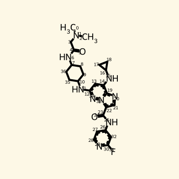 CN(C)CC(=O)NC1CCC(Nc2cc(NC3CC3)c3ncc(C(=O)Nc4ccnc(F)c4)n3n2)CC1